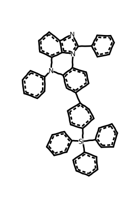 c1ccc(-c2nc3cccc4c3n2-c2ccc(-c3ccc([Si](c5ccccc5)(c5ccccc5)c5ccccc5)cc3)cc2N4c2ccccc2)cc1